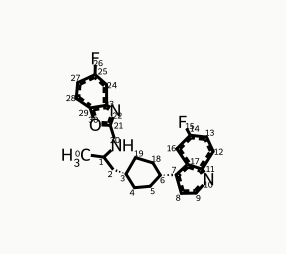 CC(C[C@H]1CC[C@@H](c2ccnc3ccc(F)cc32)CC1)Nc1nc2cc(F)ccc2o1